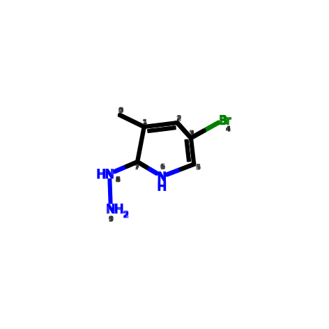 CC1=CC(Br)=CNC1NN